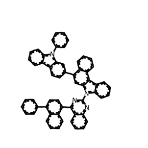 c1ccc(-c2ccc(-c3nc(-n4c5ccccc5c5c6ccccc6c(-c6ccc7c8ccccc8n(-c8ccccc8)c7c6)cc54)nc4ccccc34)c3ccccc23)cc1